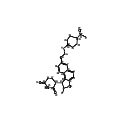 CC1Oc2ccc3cc(OCCN4CCN([S+](C)[O-])CC4)ccc3c2C1C1CCC(=O)NC1=O